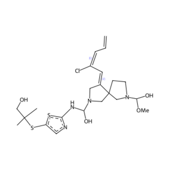 C=C/C=C(Cl)\C=C1/CN(C(O)Nc2ncc(SC(C)(C)CO)s2)CC12CCN(C(O)OC)C2